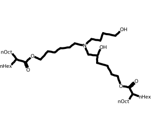 CCCCCCCCC(CCCCCC)C(=O)OCCCCCCN(CCCCO)CC(O)CCCCOC(=O)C(CCCCCC)CCCCCCCC